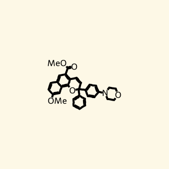 COC(=O)c1cc2ccc(OC)cc2c2c1C=CC(c1ccccc1)(c1ccc(N3CCOCC3)cc1)O2